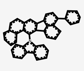 c1ccc(-c2ccc3c4c(cccc24)-c2c-3cc3ccc4ccccc4c3c2-n2c3ccccc3c3ccccc32)cc1